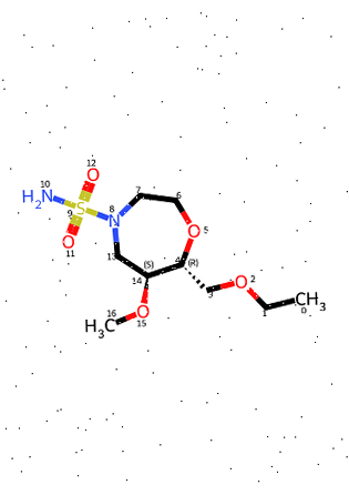 CCOC[C@H]1OCCN(S(N)(=O)=O)C[C@@H]1OC